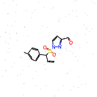 C=CC(c1ccc(C)cc1)S(=O)(=O)n1ccc(C=O)n1